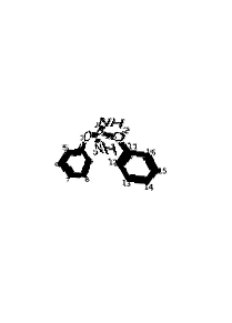 N=P(N)(Oc1ccccc1)Oc1ccccc1